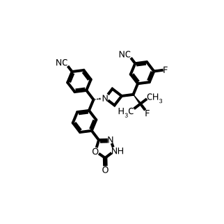 CC(C)(F)[C@H](c1cc(F)cc(C#N)c1)C1CN([C@@H](c2ccc(C#N)cc2)c2cccc(-c3n[nH]c(=O)o3)c2)C1